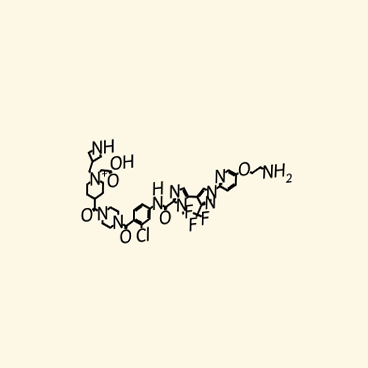 Cn1c(-c2cn(-c3ccc(OCCN)cn3)nc2C(F)(F)F)cnc1C(=O)Nc1ccc(C(=O)N2CCN(C(=O)C3CC[N+](CC(=O)O)(CC4CNC4)CC3)CC2)c(Cl)c1